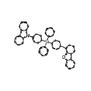 c1ccc([Si](c2ccccc2)(c2ccc(-c3cccc4c3oc3ccccc34)cc2)c2ccc(-n3c4ccccc4c4ccccc43)cc2)cc1